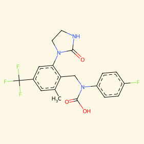 Cc1cc(C(F)(F)F)cc(N2CCNC2=O)c1CN(C(=O)O)c1ccc(F)cc1